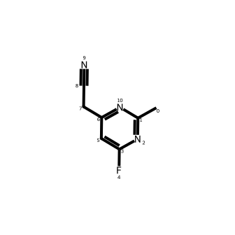 Cc1nc(F)cc(CC#N)n1